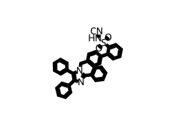 N#CNS(=O)(=O)c1ccccc1-c1ccc(Cn2c(-c3ccccc3)nc(-c3ccccc3)c2-c2ccccc2)cc1